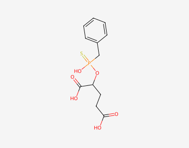 O=C(O)CCC(OP(O)(=S)Cc1ccccc1)C(=O)O